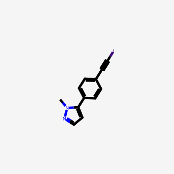 Cn1nccc1-c1ccc(C#CI)cc1